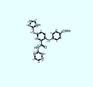 COc1ccc(Sc2ccc(Sc3nnc[nH]3)nc2C(=O)Nc2nccnn2)cc1